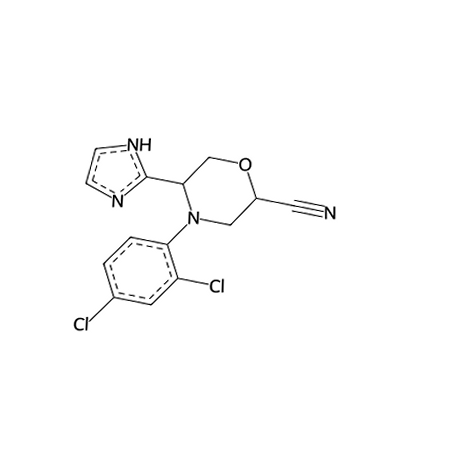 N#CC1CN(c2ccc(Cl)cc2Cl)C(c2ncc[nH]2)CO1